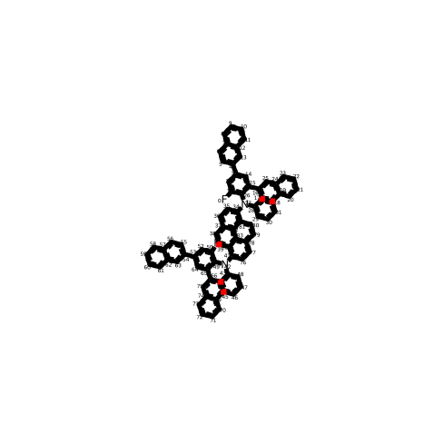 Fc1cc(-c2ccc3ccccc3c2)cc(-c2ccc3ccccc3c2)c1N(c1ccccc1)c1ccc2ccc3c(N(c4ccccc4)c4c(F)cc(-c5ccc6ccccc6c5)cc4-c4ccc5ccccc5c4)ccc4ccc1c2c43